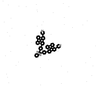 c1ccc2c(c1)-c1ccccc1C21c2cc(-c3ccncc3)ccc2-c2ccc(-c3ccc(-c4nc5ccccc5nc4-c4ccc(-c5ccc6c(c5)C5(c7ccccc7-c7ccccc75)c5cc(-c7ccncc7)ccc5-6)cc4)cc3)cc21